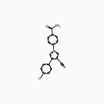 N#Cc1cn(-c2ccc(C(N)=O)cc2)cc1-c1ccc(Cl)cc1